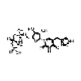 O=c1[nH]c(=O)n([C@@H]2O[C@H](COP(=O)(O)OP(=O)(O)OP(=O)(O)O)C(O)[C@@H]2O)cc1Cc1c[nH]nn1